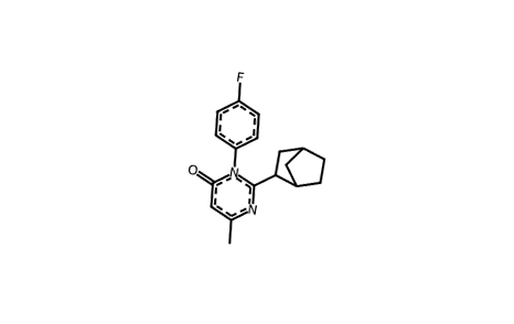 Cc1cc(=O)n(-c2ccc(F)cc2)c(C2CC3CCC2C3)n1